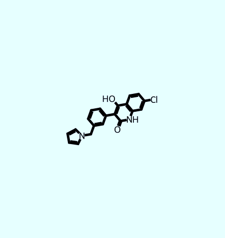 O=c1[nH]c2cc(Cl)ccc2c(O)c1-c1cccc(Cn2cccc2)c1